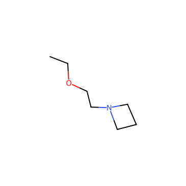 CCOCCN1CCC1